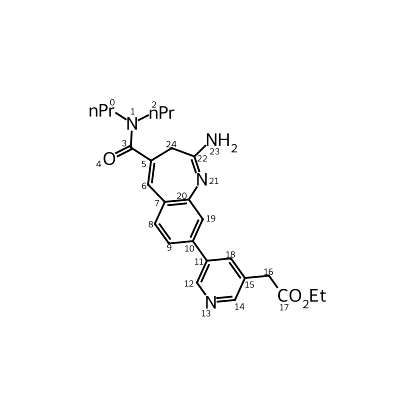 CCCN(CCC)C(=O)C1=Cc2ccc(-c3cncc(CC(=O)OCC)c3)cc2N=C(N)C1